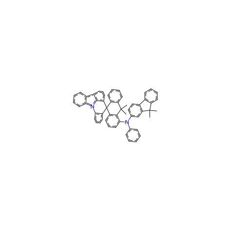 CC1(C)c2ccccc2-c2ccc(N(c3ccccc3)c3cccc4c3C(C)(C)c3ccccc3C43c4ccccc4-n4c5ccccc5c5cccc3c54)cc21